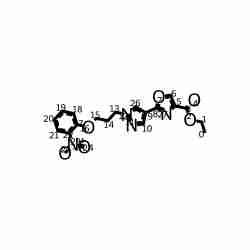 CCOC(=O)c1coc(-c2cnn(CCCOc3ccccc3[N+](=O)[O-])c2)n1